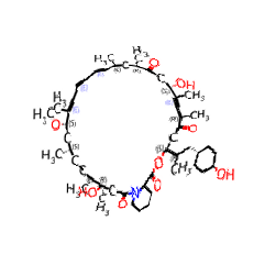 CO[C@H]1C[C@@H](C)CC[C@@H](C)[C@](C)(O)CC(=O)N2CCCCC2C(=O)O[C@H]([C@H](C)C[C@H]2CC[C@H](O)CC2)CC(=O)[C@H](C)/C=C(\C)[C@@H](O)CC(=O)[C@H](C)C[C@H](C)/C=C/C=C/C=C/1C